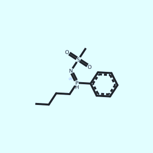 CCCC/[PH](=N/S(C)(=O)=O)c1ccccc1